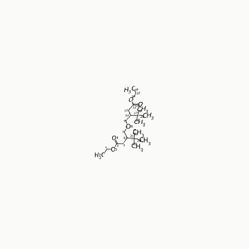 CCOC(=O)CC(COCC(CC(=O)OCC)C(C)(C)C)C(C)(C)C